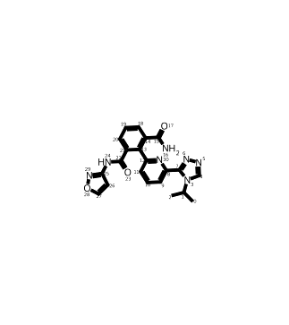 CC(C)n1cnnc1-c1cccc(-c2c(C(N)=O)cccc2C(=O)Nc2ccon2)n1